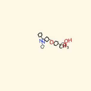 CC(CC(=O)O)c1ccc(OCc2ccc3c(-c4ccccc4)nn(C4CCCC4)c3c2)cc1